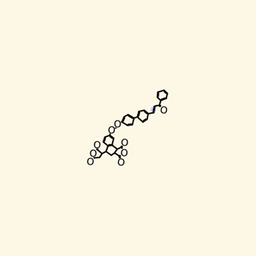 O=C1CC(C2CC3C(=O)OC(=O)C3c3cc(OCOc4ccc(-c5ccc(/C=C/C(=O)c6ccccc6)cc5)cc4)ccc32)C(=O)O1